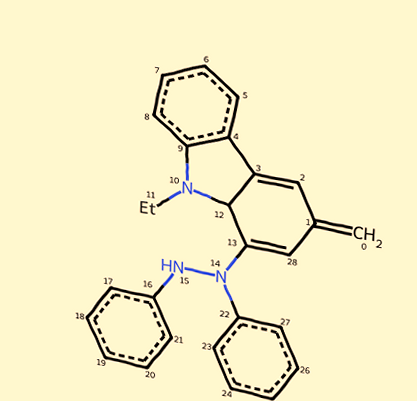 C=C1C=C2c3ccccc3N(CC)C2C(N(Nc2ccccc2)c2ccccc2)=C1